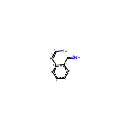 N=Cc1ccccc1/C=C\I